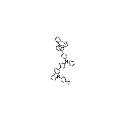 Fc1ccc(-n2c3ccccc3c3ccc(-c4ccc(N(c5ccccc5)c5ccc(-c6ccc7c(c6)-c6c8cccc6-c6cccc-7c6-c6ccccc6-8)cc5)cc4)cc32)cc1